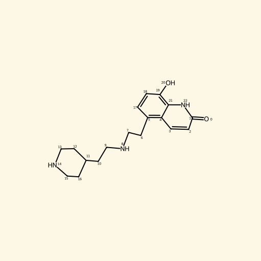 O=c1ccc2c(CCNCCC3CCNCC3)ccc(O)c2[nH]1